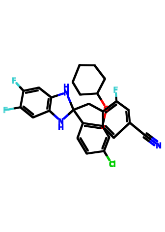 N#Cc1ccc(CC2(c3ccc(Cl)cc3OC3CCCCC3)Nc3cc(F)c(F)cc3N2)c(F)c1